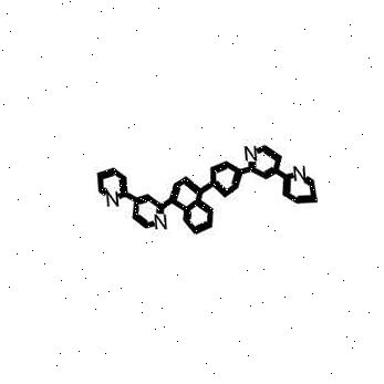 c1ccc(-c2ccnc(-c3ccc(-c4ccc(-c5cc(-c6ccccn6)ccn5)c5ccccc45)cc3)c2)nc1